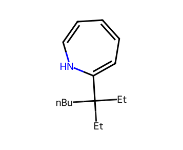 [CH2]CCCC(CC)(CC)C1=CC=CC=CN1